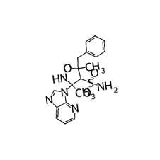 CC1(Cc2ccccc2)ONC(C)(n2cnc3cccnc32)C1S(N)(=O)=O